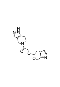 O=C(COC1Cn2ccnc2CO1)N1CCc2[nH]ncc2C1